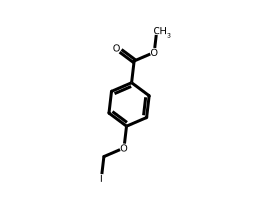 COC(=O)c1ccc(OCI)cc1